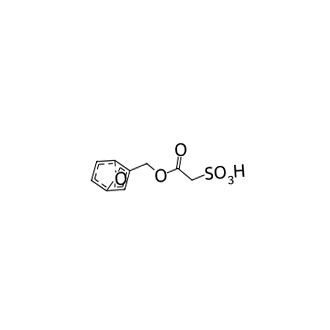 O=C(CS(=O)(=O)O)OCc1cc2ccc1o2